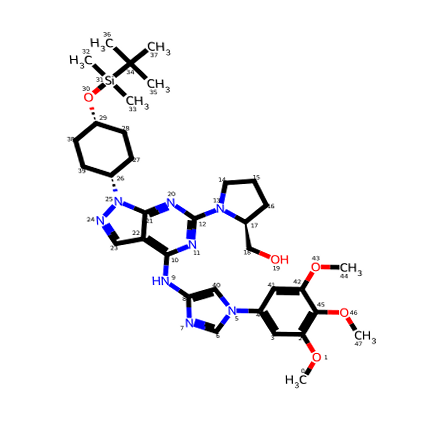 COc1cc(-n2cnc(Nc3nc(N4CCC[C@H]4CO)nc4c3cnn4[C@H]3CC[C@@H](O[Si](C)(C)C(C)(C)C)CC3)c2)cc(OC)c1OC